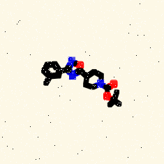 Cc1cccc(-c2noc(C3CCN(C(=O)OC(C)(C)C)CC3)n2)c1